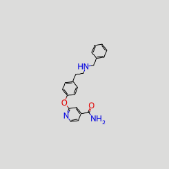 NC(=O)c1ccnc(Oc2ccc(CCNCc3ccccc3)cc2)c1